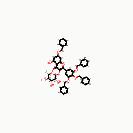 C[C@@H]1O[C@@H](Oc2c(-c3cc(OCc4ccccc4)c(OCc4ccccc4)c(OCc4ccccc4)c3)oc3cc(OCc4ccccc4)cc(O)c3c2=O)[C@H](O)[C@H](O)[C@H]1O